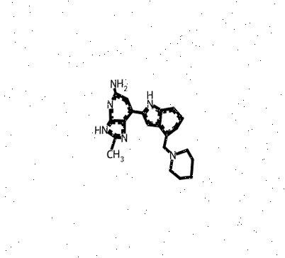 Cc1nc2c(-c3cc4c(CN5CCCCC5)cccc4[nH]3)cc(N)nc2[nH]1